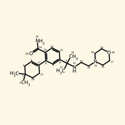 CC1(C)CC=C(c2cc(C(C)(C)NCCN3CCOCC3)ccc2C(N)=O)CC1